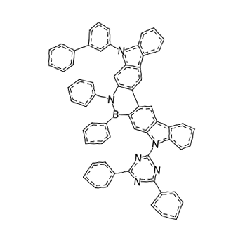 c1ccc(B2c3cc4c(cc3-c3cc5c6ccccc6n(-c6cccc(-c7ccccc7)c6)c5cc3N2c2ccccc2)c2ccccc2n4-c2nc(-c3ccccc3)nc(-c3ccccc3)n2)cc1